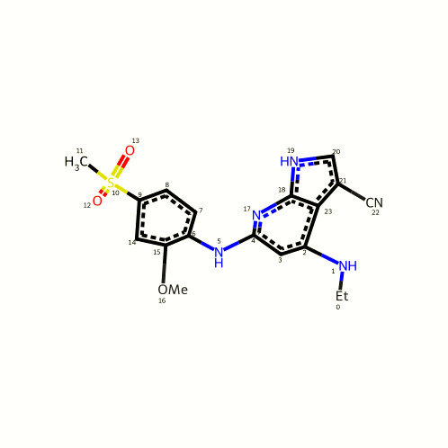 CCNc1cc(Nc2ccc(S(C)(=O)=O)cc2OC)nc2[nH]cc(C#N)c12